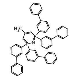 CC1=CP(c2cccc(-c3ccccc3)c2)(c2cccc(-c3ccccc3)c2)=NP(c2cccc(-c3ccccc3)c2)(c2cccc(-c3ccccc3)c2)=C1